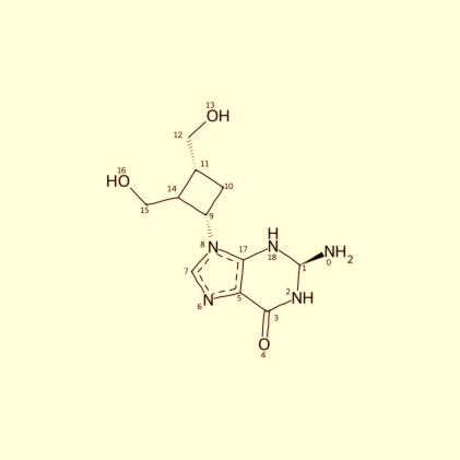 N[C@H]1NC(=O)c2ncn([C@H]3C[C@@H](CO)C3CO)c2N1